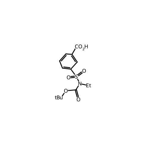 CCN(C(=O)OC(C)(C)C)S(=O)(=O)c1cccc(C(=O)O)c1